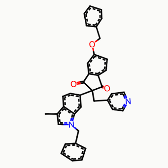 Cc1cn(Cc2ccccc2)c2cc(C3(Cc4ccncc4)C(=O)c4ccc(OCc5ccccc5)cc4C3=O)ccc12